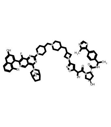 CCc1cccc2cc(O)cc(-c3ncc4c(N5CC6CCC(C5)N6)nc(N5CCC(CN6CCC(CC7CN(c8cc(C(C(=O)N9C[C@H](O)C[C@H]9C(=O)NC(C)c9ccc(-c%10scnc%10C)cc9)C(C)C)on8)C7)CC6)CC5)nc4c3F)c12